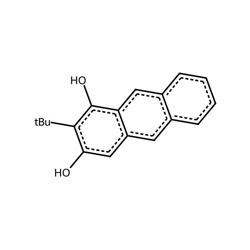 CC(C)(C)c1c(O)cc2cc3ccccc3cc2c1O